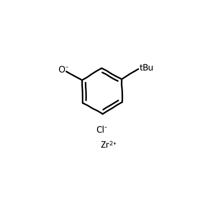 CC(C)(C)c1cccc([O-])c1.[Cl-].[Zr+2]